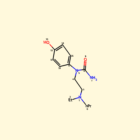 CCCN(CC)CCN(C(N)=O)c1ccc(O)cc1